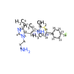 C=Cc1ncn(CCN)c1/C=C(\C)NC(=C)S/C(=C\C)c1ccc(F)cc1